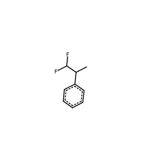 CC(c1cc[c]cc1)C(F)F